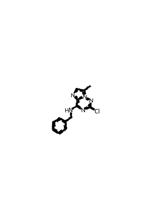 Cc1cnc2c(NCc3ccccc3)nc(Cl)nn12